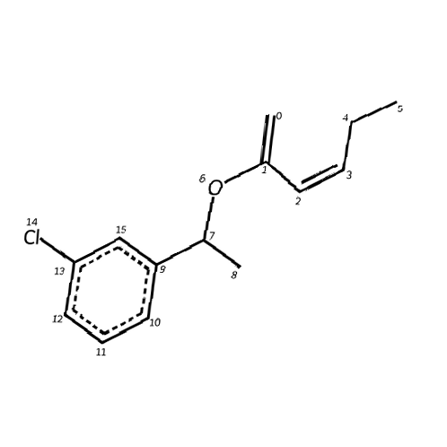 C=C(/C=C\CC)OC(C)c1cccc(Cl)c1